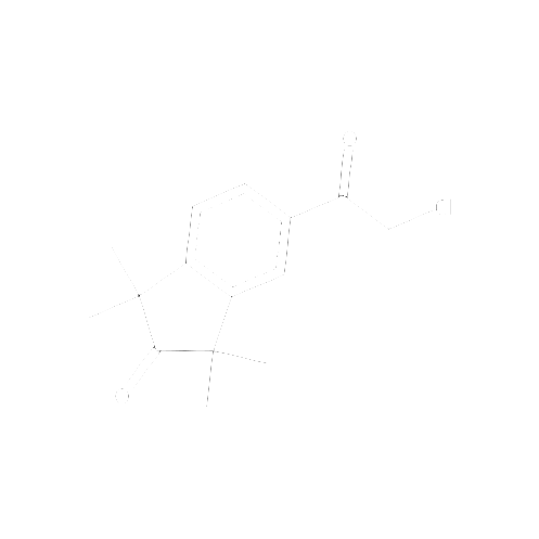 CC1(C)C(=O)C(C)(C)c2cc(C(=O)CCl)ccc21